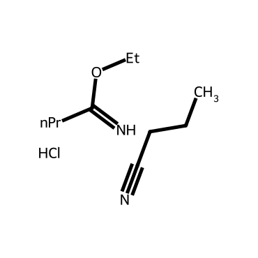 CCCC#N.CCCC(=N)OCC.Cl